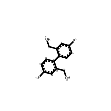 OCc1cc(F)ccc1-c1ccc(F)cc1CO